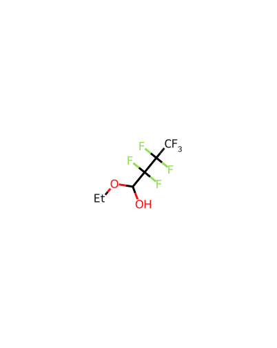 CCOC(O)C(F)(F)C(F)(F)C(F)(F)F